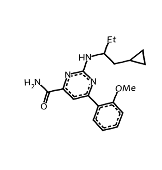 CCC(CC1CC1)Nc1nc(C(N)=O)cc(-c2ccccc2OC)n1